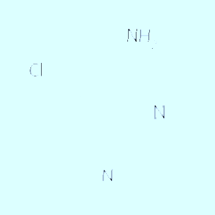 Cc1nc(C)c(Cl)c(N)n1